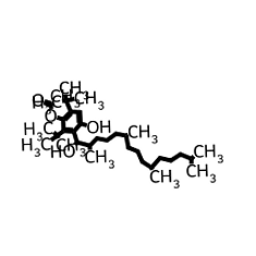 CC(=O)Oc1c(C(C)(C)C)cc(O)c(C(O)C(C)CCCC(C)CCCC(C)CCCC(C)C)c1C(C)(C)C